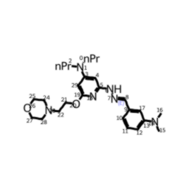 CCCN(CCC)c1cc(N/N=C/c2cccc(N(C)C)c2)nc(OCCN2CCOCC2)c1